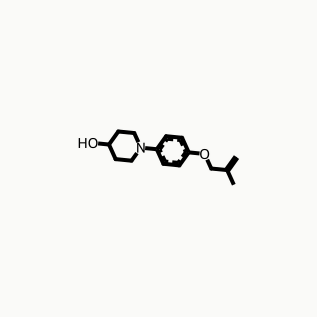 C=C(C)COc1ccc(N2CCC(O)CC2)cc1